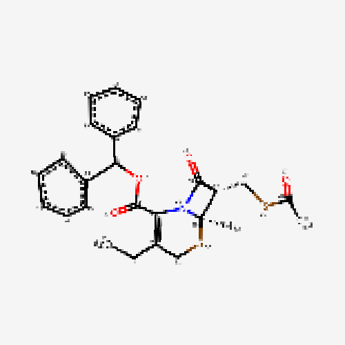 CC(=O)OCC1=C(C(=O)OC(c2ccccc2)c2ccccc2)N2C(=O)[C@H](CSC(=O)C(F)(F)F)[C@H]2SC1